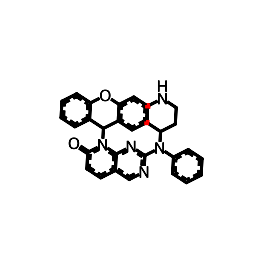 O=c1ccc2cnc(N(c3ccccc3)C3CCNCC3)nc2n1C1c2ccccc2Oc2ccccc21